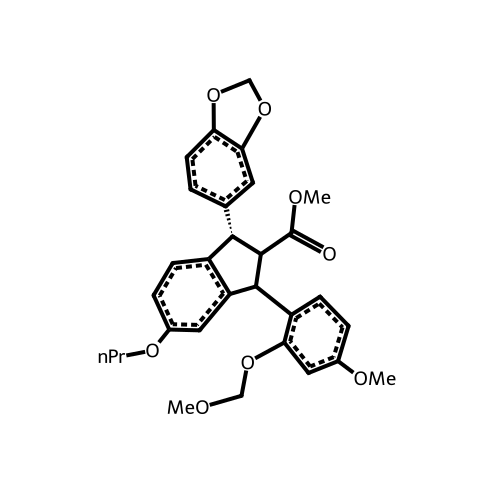 CCCOc1ccc2c(c1)C(c1ccc(OC)cc1OCOC)C(C(=O)OC)[C@H]2c1ccc2c(c1)OCO2